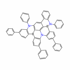 c1ccc(-c2ccc3c(c2)N(c2ccccc2)c2cc4c5c6c2B3c2ccc(-c3ccccc3)cc2N6c2cc(-c3ccccc3)ccc2B5N(c2ccccc2)c2ccccc2-4)cc1